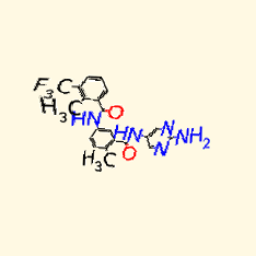 Cc1ccc(NC(=O)c2cccc(C(F)(F)F)c2C)cc1C(=O)Nc1cnc(N)nc1